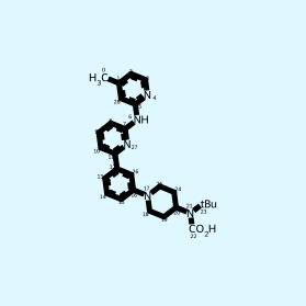 Cc1ccnc(Nc2cccc(-c3cccc(N4CCC(N(C(=O)O)C(C)(C)C)CC4)c3)n2)c1